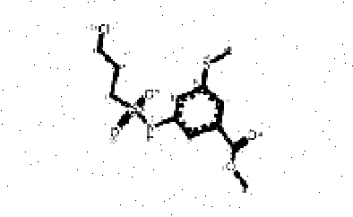 COC(=O)c1cc(NS(=O)(=O)CCCCl)cc(SC)c1